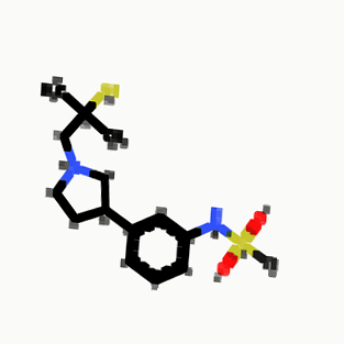 CCS(=O)(=O)Nc1cccc(C2CCN(CC(C)(C)S)C2)c1